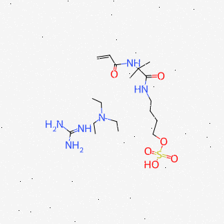 C=CC(=O)NC(C)(C)C(=O)NCCCCOS(=O)(=O)O.CCN(CC)CC.N=C(N)N